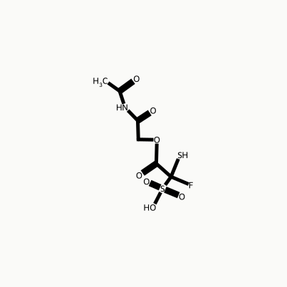 CC(=O)NC(=O)COC(=O)C(F)(S)S(=O)(=O)O